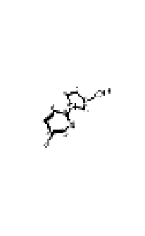 O[C@@H]1CCN(c2ccc(I)cn2)C1